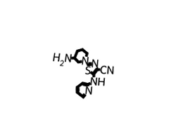 N#Cc1nc(N2CCCC(N)C2)sc1Nc1ccccn1